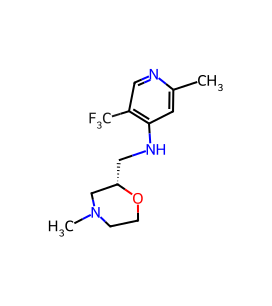 Cc1cc(NC[C@H]2CN(C)CCO2)c(C(F)(F)F)cn1